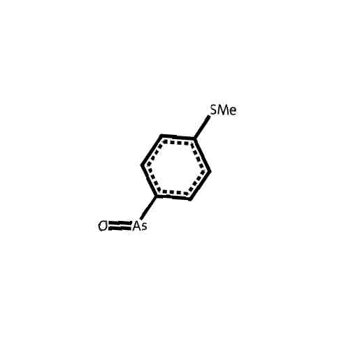 CSc1ccc([As]=O)cc1